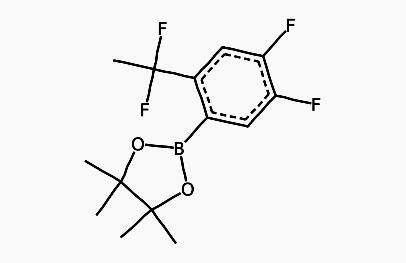 CC(F)(F)c1cc(F)c(F)cc1B1OC(C)(C)C(C)(C)O1